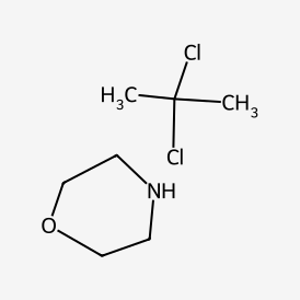 C1COCCN1.CC(C)(Cl)Cl